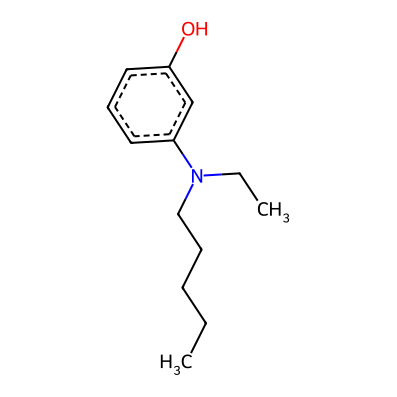 CCCCCN(CC)c1cccc(O)c1